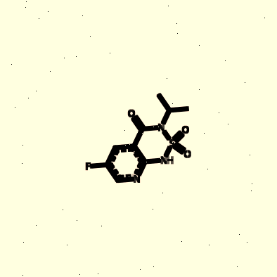 CC(C)N1C(=O)c2cc(F)cnc2NS1(=O)=O